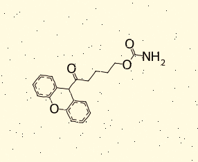 NC(=O)OCCCCC(=O)C1c2ccccc2Oc2ccccc21